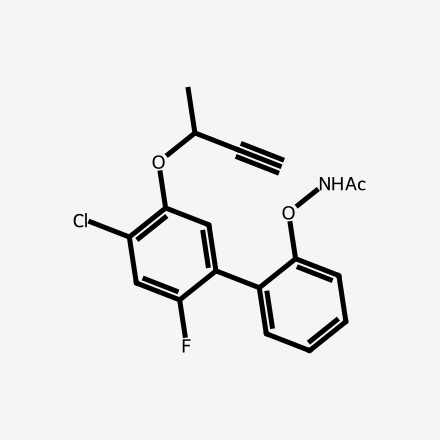 C#CC(C)Oc1cc(-c2ccccc2ONC(C)=O)c(F)cc1Cl